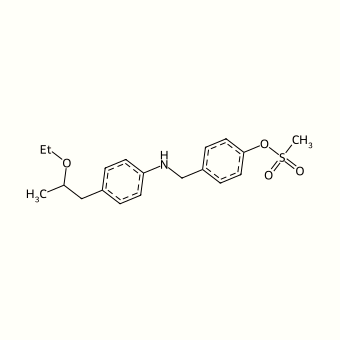 CCOC(C)Cc1ccc(NCc2ccc(OS(C)(=O)=O)cc2)cc1